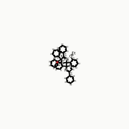 CCOc1ccccc1C1(C2(c3ccccc3OCC)N=C(c3ccccc3)C(c3ccccc3)(c3ccccc3)N2)N=CC(c2ccccc2)=N1